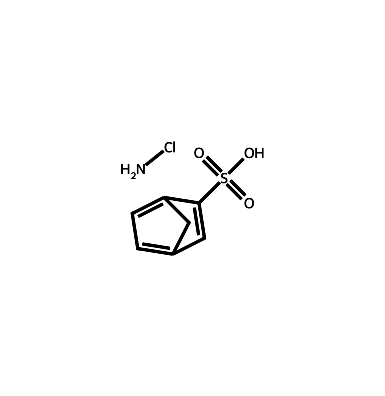 NCl.O=S(=O)(O)C1=CC2=CC=C1C2